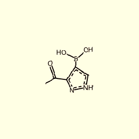 CC(=O)c1n[nH]cc1B(O)O